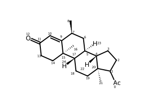 CC(=O)[C]1CC[C@H]2[C@@H]3C[C@H](C)C4=CC(=O)CC[C@]4(C)[C@H]3CC[C@]12C